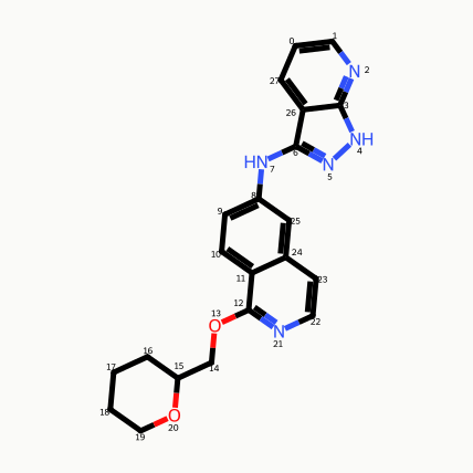 c1cnc2[nH]nc(Nc3ccc4c(OCC5CCCCO5)nccc4c3)c2c1